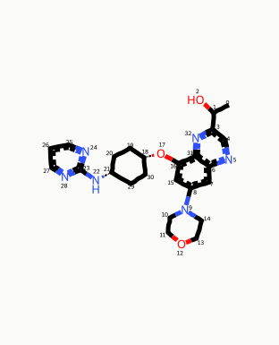 CC(O)c1cnc2cc(N3CCOCC3)cc(O[C@H]3CC[C@@H](Nc4ncccn4)CC3)c2n1